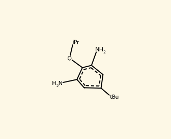 CC(C)Oc1c(N)cc(C(C)(C)C)cc1N